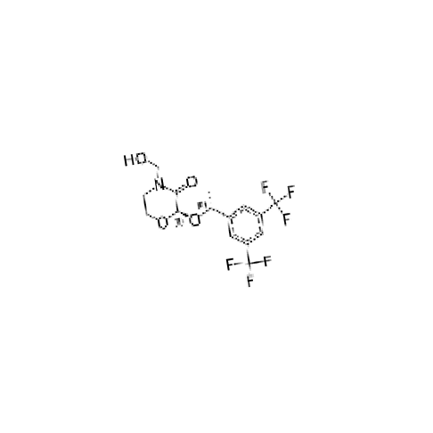 C[C@@H](O[C@H]1OCCN(CO)C1=O)c1cc(C(F)(F)F)cc(C(F)(F)F)c1